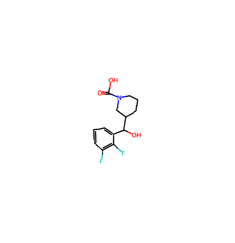 O=C(O)N1CCCC(C(O)c2cccc(F)c2F)C1